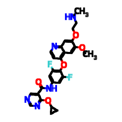 CNCCOc1cc2nccc(Oc3c(F)cc(NC(=O)c4cncnc4OC4CC4)cc3F)c2cc1OC